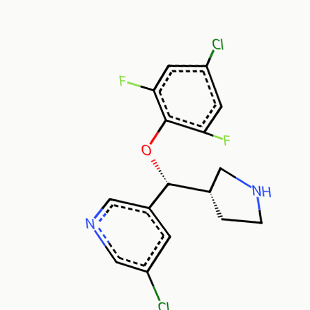 Fc1cc(Cl)cc(F)c1O[C@@H](c1cncc(Cl)c1)[C@H]1CCNC1